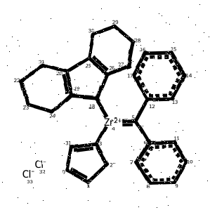 C1=CC[C]([Zr+2](=[C](c2ccccc2)c2ccccc2)[CH]2C3=C(CCCC3)C3=C2CCCC3)=C1.[Cl-].[Cl-]